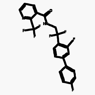 O=C(NCC(F)(F)c1ccc(-c2ccc(F)cc2)cc1F)c1cccnc1C(F)(F)F